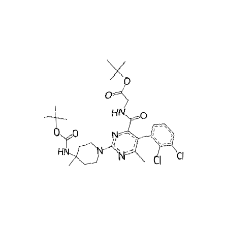 Cc1nc(N2CCC(C)(NC(=O)OC(C)(C)C)CC2)nc(C(=O)NCC(=O)OC(C)(C)C)c1-c1cccc(Cl)c1Cl